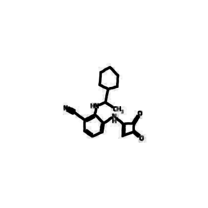 CC(Nc1c(C#N)cccc1Nc1cc(=O)c1=O)C1CCCCC1